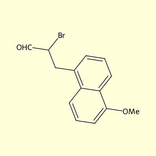 COc1cccc2c(CC(Br)C=O)cccc12